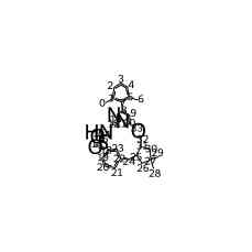 Cc1cccc(C)c1-c1cc2nc(n1)NS(=O)(=O)c1cccc(c1)CC1CC(C)(C)CC1CO2